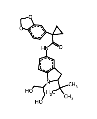 CC(C)(C)C1Cc2cc(NC(=O)C3(c4ccc5c(c4)OCO5)CC3)ccc2N1C(CO)CO